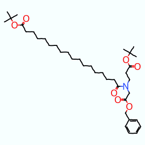 CC(C)(C)OC(=O)CCCCCCCCCCCCCCCCC(=O)N(CCC(=O)OC(C)(C)C)CC(=O)OCc1ccccc1